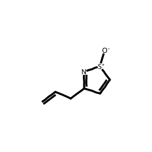 C=CCc1cc[s+]([O-])n1